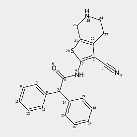 N#Cc1c(NC(=O)C(c2ccccc2)c2ccccc2)sc2c1CCNC2